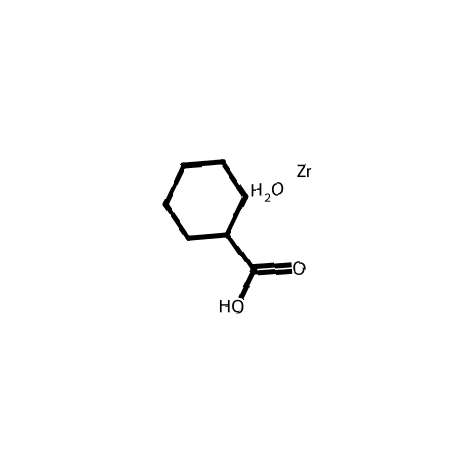 O.O=C(O)C1CCCCC1.[Zr]